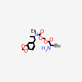 CCC(C)C(N)C(=O)OCOC(=O)N(CC)C(C)Cc1ccc2c(c1)OCO2